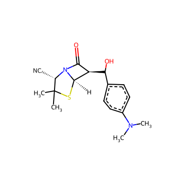 CN(C)c1ccc(C(O)[C@@H]2C(=O)N3[C@@H]2SC(C)(C)[C@@H]3C#N)cc1